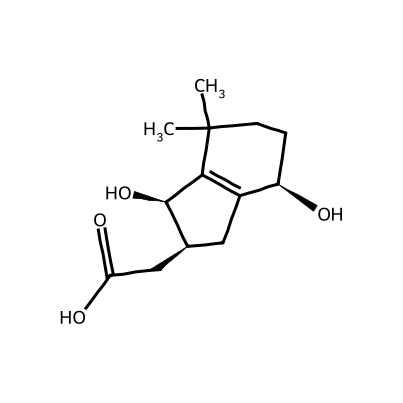 CC1(C)CC[C@@H](O)C2=C1[C@H](O)[C@H](CC(=O)O)C2